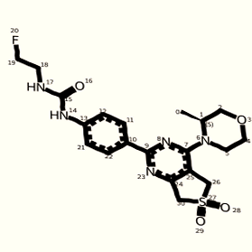 C[C@H]1COCCN1c1nc(-c2ccc(NC(=O)NCCF)cc2)nc2c1CS(=O)(=O)C2